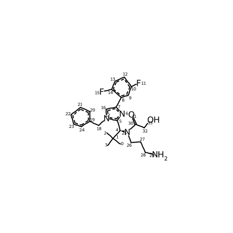 CC(C)(C)[C@@H](c1nc(-c2cc(F)ccc2F)cn1Cc1ccccc1)N(CCCN)C(=O)CO